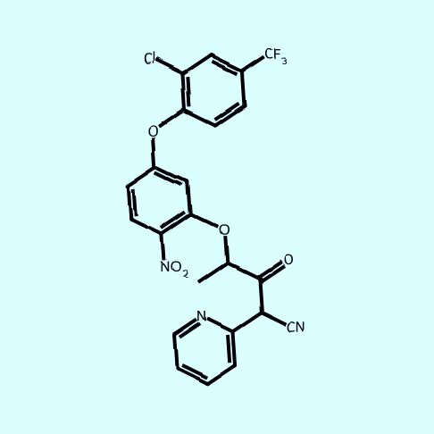 CC(Oc1cc(Oc2ccc(C(F)(F)F)cc2Cl)ccc1[N+](=O)[O-])C(=O)C(C#N)c1ccccn1